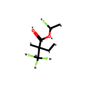 CCC(C)(C(=O)OC(C)F)C(F)(F)F